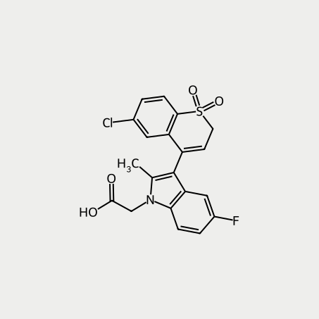 Cc1c(C2=CCS(=O)(=O)c3ccc(Cl)cc32)c2cc(F)ccc2n1CC(=O)O